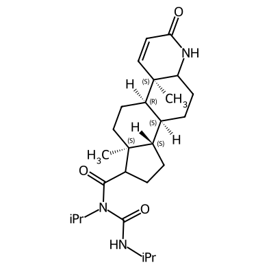 CC(C)NC(=O)N(C(=O)C1CC[C@H]2[C@@H]3CCC4NC(=O)C=C[C@]4(C)[C@@H]3CC[C@]12C)C(C)C